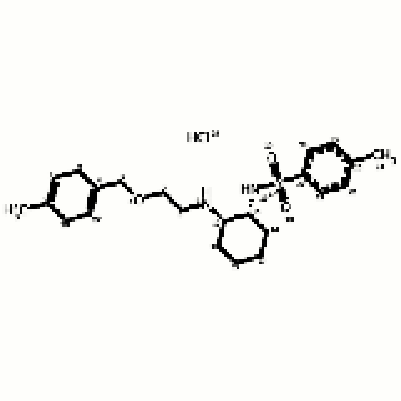 CC1=CCC(COCCN[C@@H]2CCCC[C@H]2NS(=O)(=O)c2ccc(C)cc2)=CC1.Cl